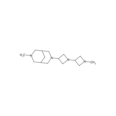 CN1CC2CC(C1)CN(C1CN(C3CN(C)C3)C1)C2